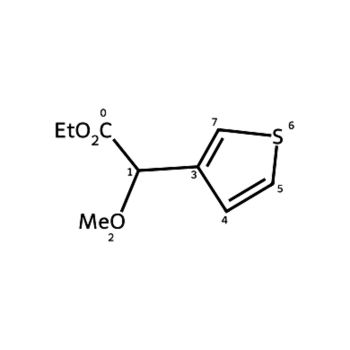 CCOC(=O)C(OC)c1ccsc1